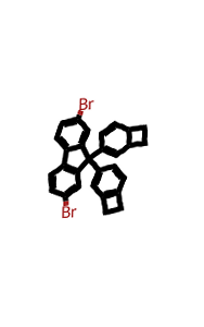 Brc1ccc2c(c1)C(C1=CC3CCC3C=C1)(c1ccc3c(c1)CC3)c1cc(Br)ccc1-2